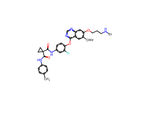 CCNCCCOc1cc2ncnc(Oc3ccc(NC(=O)C4(C(=O)Nc5ccc(C)cc5)CC4)cc3F)c2cc1OC